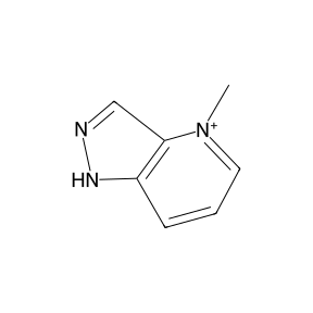 C[n+]1cccc2[nH]ncc21